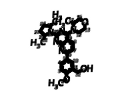 COc1ccc(-c2ccc3c(N4CCOC[C@@H]4C)nc(N4C(C)CCC4C)nc3n2)cc1CO